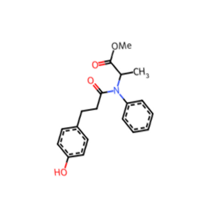 COC(=O)C(C)N(C(=O)CCc1ccc(O)cc1)c1ccccc1